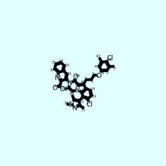 Cc1cc(OCCCc2c3n(c4c(-c5c(C)nn(C)c5C)c(Cl)ccc24)C[C@@H](C)N(c2cc4ccccc4nc2C(=O)O)C3=O)cc(C)c1Cl